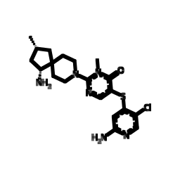 C[C@H]1C[C@@H](N)C2(CCN(c3ncc(Sc4cc(N)ncc4Cl)c(=O)n3C)CC2)C1